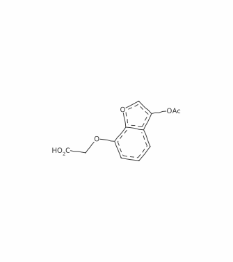 CC(=O)Oc1coc2c(OCC(=O)O)cccc12